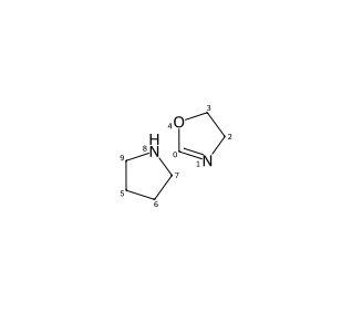 C1=NCCO1.C1CCNC1